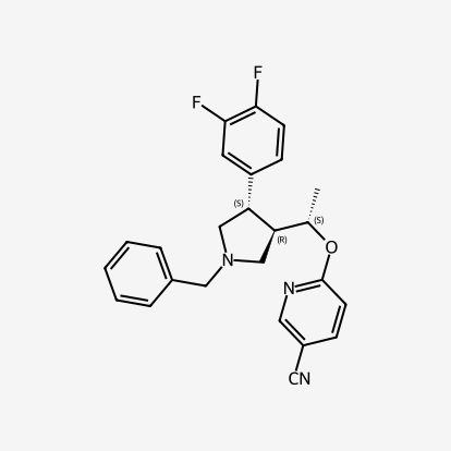 C[C@H](Oc1ccc(C#N)cn1)[C@H]1CN(Cc2ccccc2)C[C@@H]1c1ccc(F)c(F)c1